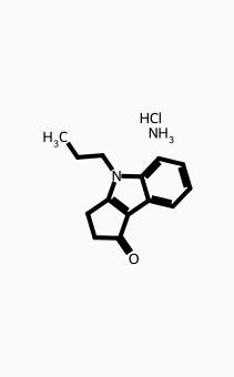 CCCn1c2c(c3ccccc31)C(=O)CC2.Cl.N